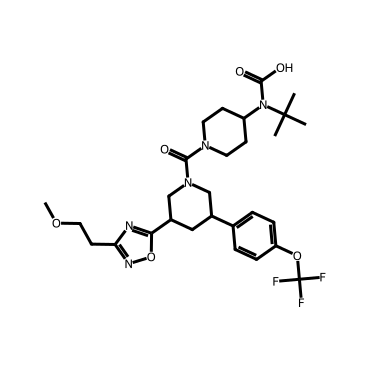 COCCc1noc(C2CC(c3ccc(OC(F)(F)F)cc3)CN(C(=O)N3CCC(N(C(=O)O)C(C)(C)C)CC3)C2)n1